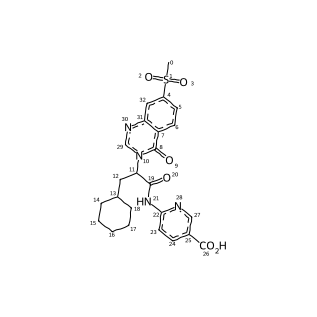 CS(=O)(=O)c1ccc2c(=O)n(C(CC3CCCCC3)C(=O)Nc3ccc(C(=O)O)cn3)cnc2c1